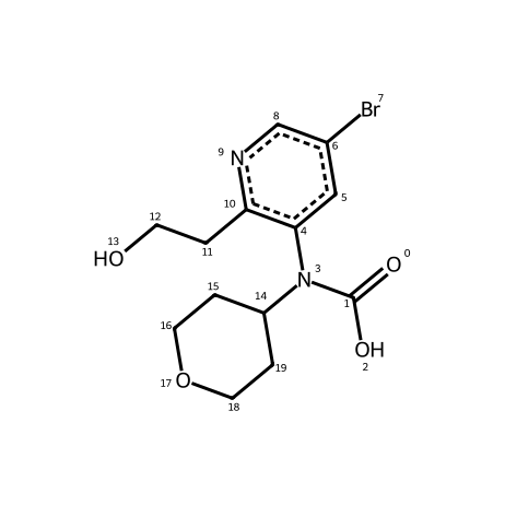 O=C(O)N(c1cc(Br)cnc1CCO)C1CCOCC1